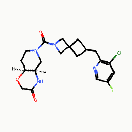 O=C1CO[C@H]2CCN(C(=O)N3CC4(CC(Cc5ncc(F)cc5Cl)C4)C3)C[C@H]2N1